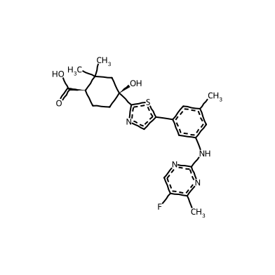 Cc1cc(Nc2ncc(F)c(C)n2)cc(-c2cnc([C@]3(O)CC[C@@H](C(=O)O)C(C)(C)C3)s2)c1